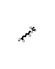 COC(=O)CCCC(=O)COS(C)(=O)=O